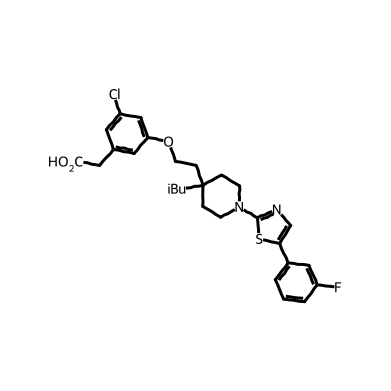 CCC(C)C1(CCOc2cc(Cl)cc(CC(=O)O)c2)CCN(c2ncc(-c3cccc(F)c3)s2)CC1